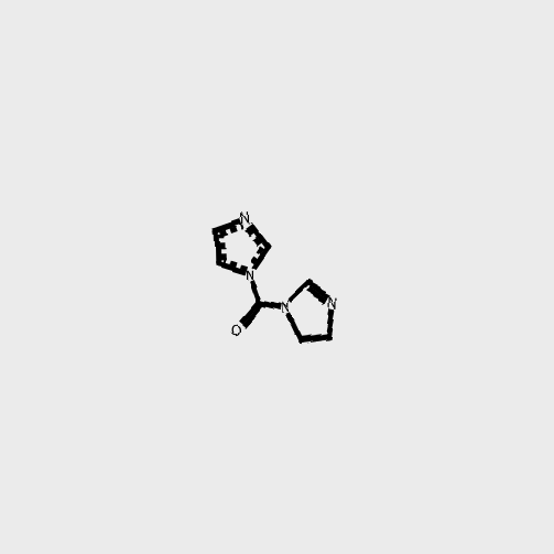 O=C(N1C=NCC1)n1ccnc1